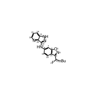 CCCCC(F)c1noc2cc(Nc3n[nH]c4cccnc34)ccc12